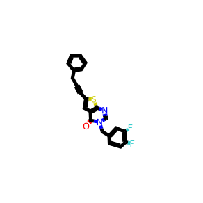 O=c1c2cc(C#CCc3ccccc3)sc2ncn1Cc1ccc(F)c(F)c1